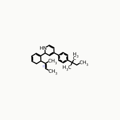 C/C=C(\C)C1CC=CC=C1C1C=C(c2ccc(C(C)(C)CC)cc2)C=CN1